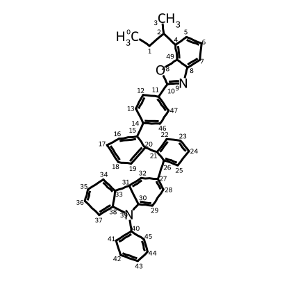 CCC(C)c1cccc2nc(-c3ccc(-c4ccccc4-c4ccccc4-c4ccc5c(c4)c4ccccc4n5-c4ccccc4)cc3)oc12